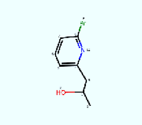 CC(O)Cc1cccc(Br)n1